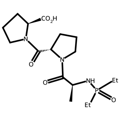 CCP(=O)(CC)N[C@@H](C)C(=O)N1CCC[C@H]1C(=O)N1CCC[C@H]1C(=O)O